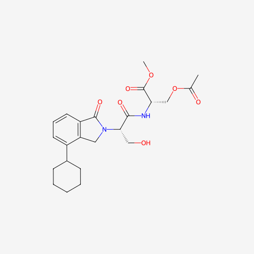 COC(=O)[C@H](COC(C)=O)NC(=O)[C@H](CO)N1Cc2c(cccc2C2CCCCC2)C1=O